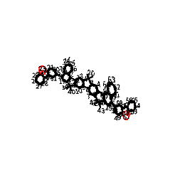 CC1(C)c2cc3c(cc2-c2cc4c(cc21)-c1c(cc(-c2ccc5oc6ccccc6c5c2)c2ccccc12)C4(C)C)C(C)(C)c1cc(-c2ccc4oc5ccccc5c4c2)c2ccccc2c1-3